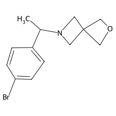 CC(c1ccc(Br)cc1)N1CC2(COC2)C1